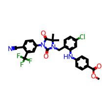 COC(=O)c1ccc(Nc2cc(Cl)ccc2CN2C(=O)N(c3ccc(C#N)c(C(F)(F)F)c3)C(=O)C2(C)C)cc1